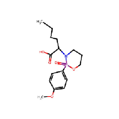 CCCCC(C(=O)O)N1CCCOP1(=O)c1ccc(OC)cc1